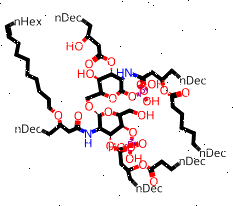 CCCCCC/C=C\CCCCCCCCOC(CCCCCCCCCCC)CC(=O)NC1[C@H](OCC2OC(OP(=O)(O)O)C(NC(=O)CC(CCCCCCCCCCC)OC(=O)CCCCCCCCCCCCCCC)[C@@H](OC(=O)CC(O)CCCCCCCCCCC)[C@@H]2O)OC(CO)[C@@H](OP(=O)(O)O)[C@@H]1OC(=O)CC(CCCCCCCCCCC)OC(=O)CCCCCCCCCCCC